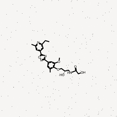 CCc1cc(-c2nc(-c3cc(C)c(OC[C@@H](O)CNC(=O)CO)c(OC)c3)no2)cc(C)n1